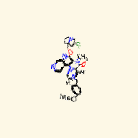 COc1ccc(CN2[C@@H]3CC[C@H]2C2C(=O)N(C)c4c(OC[C@@]56CCCN5C[C@H](F)C6)nc5cnccc5c4N2C3)cc1